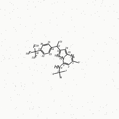 Cc1cc(NC(C)(C)C)n2nc(C(C)c3ccc(C(F)(F)F)cc3)cc2n1